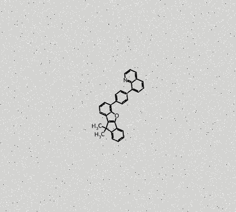 CC1(C)c2ccccc2-c2oc3c(-c4ccc(-c5cccc6cccnc56)cc4)cccc3c21